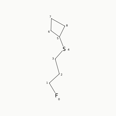 FCCCSC1CCC1